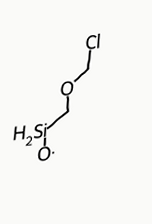 [O][SiH2]COCCl